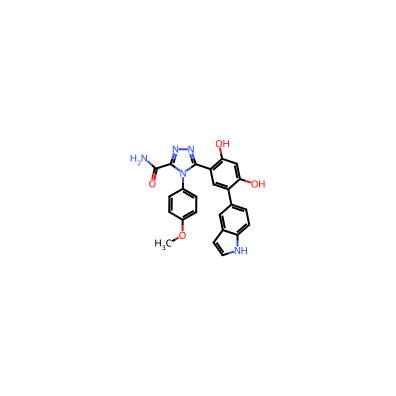 COc1ccc(-n2c(C(N)=O)nnc2-c2cc(-c3ccc4[nH]ccc4c3)c(O)cc2O)cc1